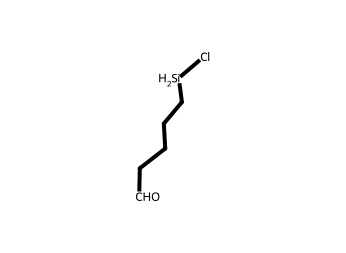 O=CCCCC[SiH2]Cl